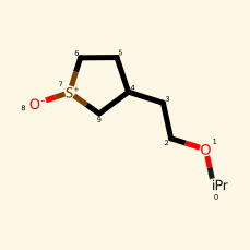 CC(C)OCCC1CC[S+]([O-])C1